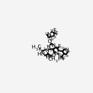 CC[C@@H]1CN2c3nc(OC[C@]45CCN4CC(F)(F)C5)nc4c(F)c(-c5cnccc5C(F)(F)F)nc(c34)O[C@@H](C)[C@@H]2CN1